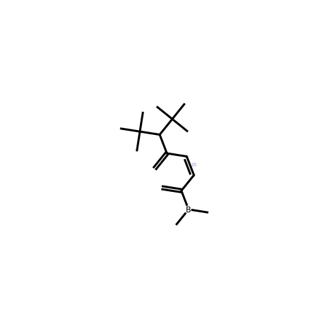 C=C(/C=C\C(=C)C(C(C)(C)C)C(C)(C)C)B(C)C